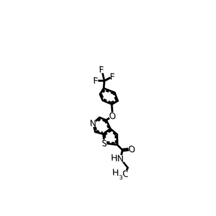 CCNC(=O)c1cc2c(Oc3ccc(C(F)(F)F)cc3)cncc2s1